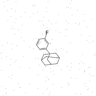 Fc1[c]c(C23CC4CC(CC(C4)C2)C3)ccc1